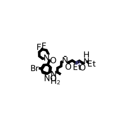 CCNC(=O)/C=C(\CC)CC(=O)N(C)CCCC(C)NC1=CC(C(=O)N2CCCC(F)(F)CC2)C=C(Br)C=C1[N+](=O)[O-]